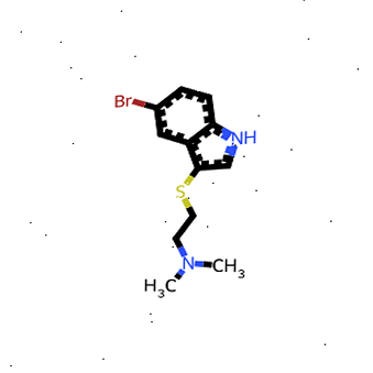 CN(C)CCSc1c[nH]c2ccc(Br)cc12